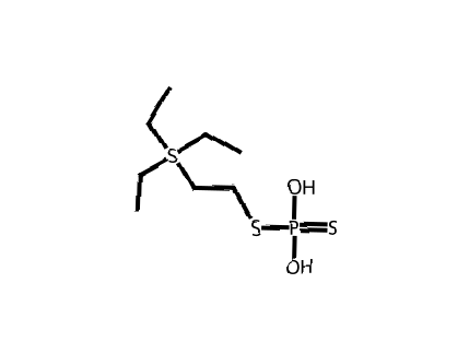 CCS(CC)(CC)CCSP(O)(O)=S